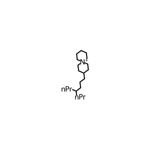 CCCC(CCC)CCCC1CC[N+]2(CCCCC2)CC1